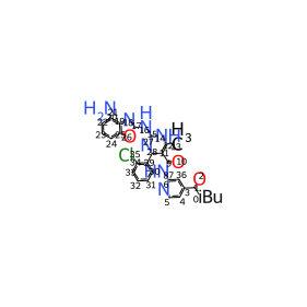 CCC(C)C(=O)c1ccnc(NC(=O)C2=C(C)NC(Nc3nc4c(N)cccc4o3)=NC2c2ccccc2Cl)c1